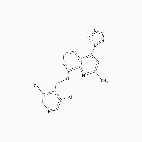 Cc1cc(-n2cncn2)c2cccc(OCc3c(Cl)cncc3Cl)c2n1